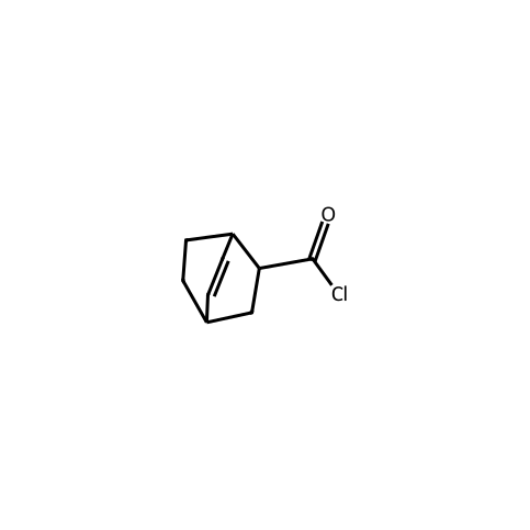 O=C(Cl)C1CC2C=CC1CC2